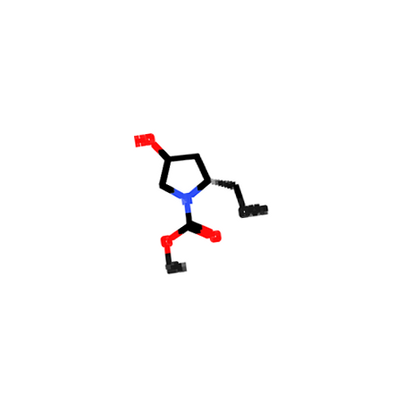 COC[C@H]1CC(O)CN1C(=O)OC(C)(C)C